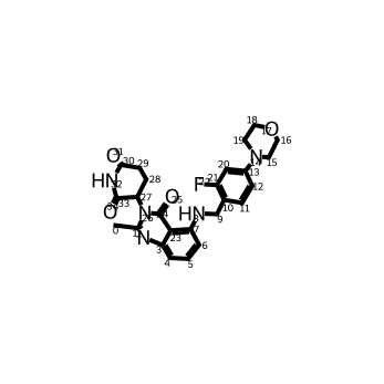 Cc1nc2cccc(NCc3ccc(N4CCOCC4)cc3F)c2c(=O)n1C1CCC(=O)NC1=O